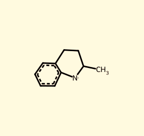 CC1CCc2ccccc2[N]1